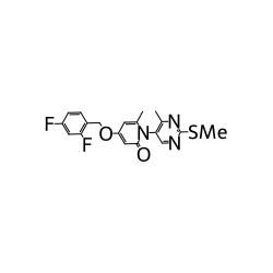 CSc1ncc(-n2c(C)cc(OCc3ccc(F)cc3F)cc2=O)c(C)n1